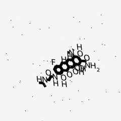 CC(C)NCC(=O)Nc1cc(F)c2c(c1O)C(=O)C1=C(O)[C@]3(O)C(=O)C(C(N)=O)=C(O)[C@@H](N(C)C)[C@@H]3C[C@@H]1C2